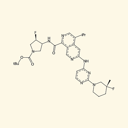 CC(C)c1cnc(C(=O)NC2CN(C(=O)OC(C)(C)C)C[C@H]2F)c2cnc(Nc3ccnc(N4CCC[C@@](C)(F)C4)n3)cc12